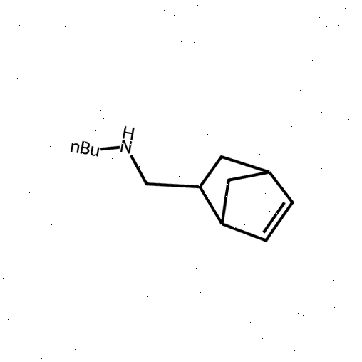 CCCCNCC1CC2C=CC1C2